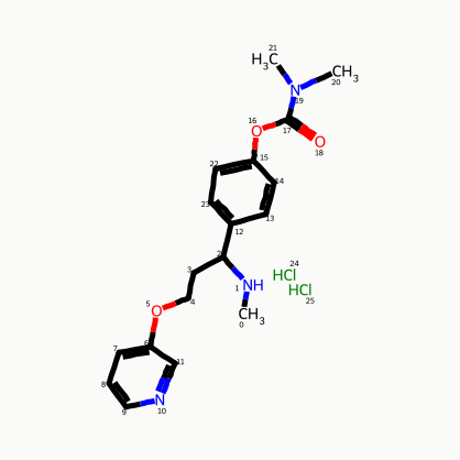 CNC(CCOc1cccnc1)c1ccc(OC(=O)N(C)C)cc1.Cl.Cl